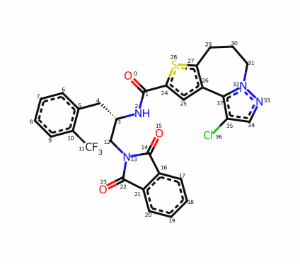 O=C(N[C@@H](Cc1ccccc1C(F)(F)F)CN1C(=O)c2ccccc2C1=O)c1cc2c(s1)CCCn1ncc(Cl)c1-2